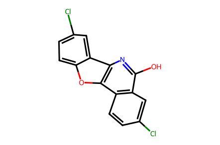 Oc1nc2c3cc(Cl)ccc3oc2c2ccc(Cl)cc12